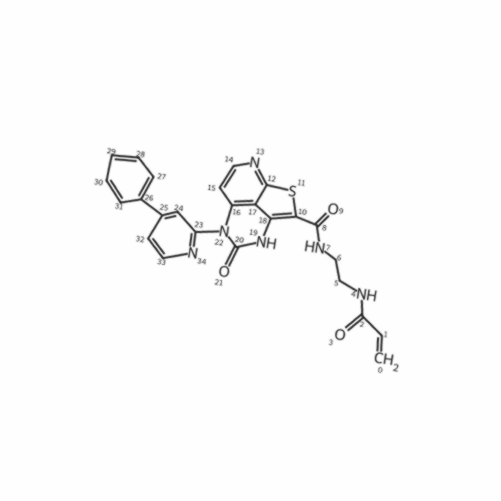 C=CC(=O)NCCNC(=O)c1sc2nccc3c2c1NC(=O)N3c1cc(-c2ccccc2)ccn1